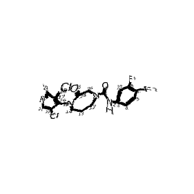 O=C(Nc1ccc(F)c(F)c1)N1CCCN(c2c(Cl)cncc2Cl)C(=O)C1